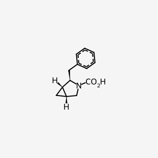 O=C(O)N1C[C@@H]2C[C@@H]2[C@H]1Cc1ccccc1